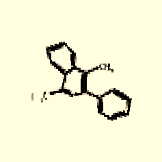 Cc1cc(-c2ccccc2)c(C)c2ccccc12